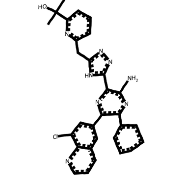 CC(C)(O)c1cccc(Cc2nnc(-c3nc(-c4cc(Cl)c5ncccc5c4)c(-c4ccccc4)nc3N)[nH]2)n1